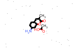 CC(=O)O.Cc1cc2ccc(N)cc2oc1=O